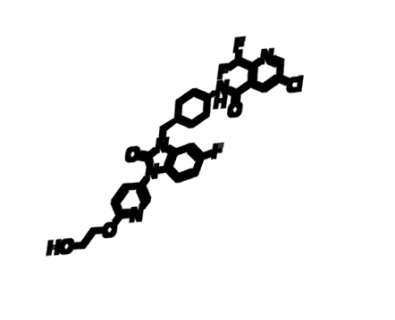 O=C(N[C@H]1CC[C@H](Cn2c(=O)n(-c3ccc(OCCO)nc3)c3ccc(F)cc32)CC1)c1cc(Cl)cnc1C(F)F